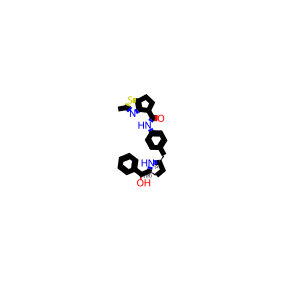 Cc1nc2c(s1)CCC2C(=O)Nc1ccc(C[C@@H]2CC[C@H]([C@H](O)c3ccccc3)N2)cc1